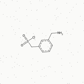 NCc1cccc(CS(=O)(=O)Cl)c1